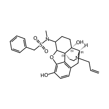 C=CCN1CC[C@]23c4c5ccc(O)c4OC2C(N(C)S(=O)(=O)Cc2ccccc2)CC[C@@]3(O)[C@H]1C5